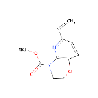 C=Cc1ccc2c(n1)N(C(=O)OC(C)(C)C)CCO2